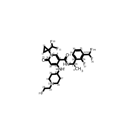 C[C@@H](NC(=O)c1cn(C2(C(F)F)CC2)c(=O)cc1NC1CCN(CCF)CC1)c1cccc(C(F)F)c1F